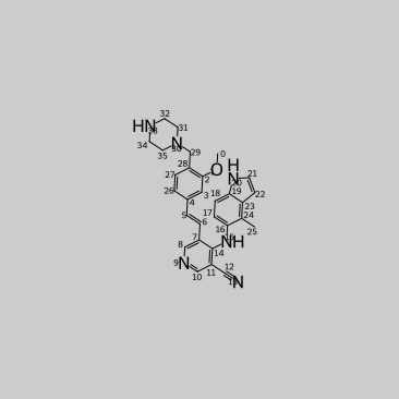 COc1cc(C=Cc2cncc(C#N)c2Nc2ccc3[nH]ccc3c2C)ccc1CN1CCNCC1